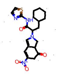 O=C1CC([N+](=O)[O-])=CC2=CN(C(CC3CCCCC3)C(=O)Nc3nccs3)CC12